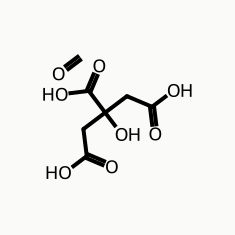 C=O.O=C(O)CC(O)(CC(=O)O)C(=O)O